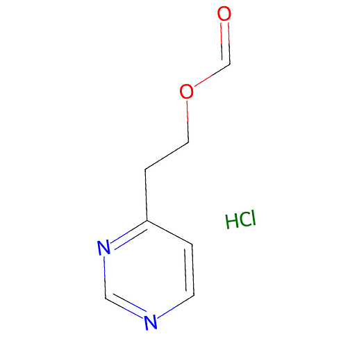 Cl.O=COCCc1ccncn1